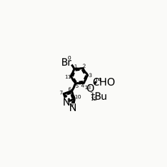 Brc1cccc(-c2cn3nc2-3)c1.CC(C)(C)OC=O